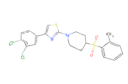 O=S(=O)(c1ccccc1C(F)(F)F)C1CCN(c2nc(-c3ccc(Cl)c(Cl)c3)cs2)CC1